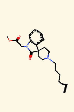 CCCCCCN1CCC2(CC1)C(=O)N(CC(=O)OC)c1ccccc12